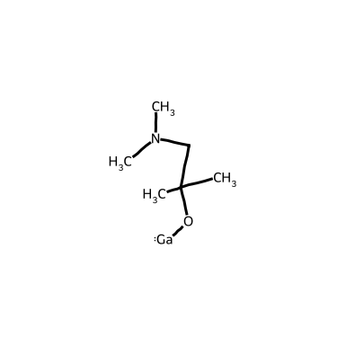 CN(C)CC(C)(C)[O][Ga]